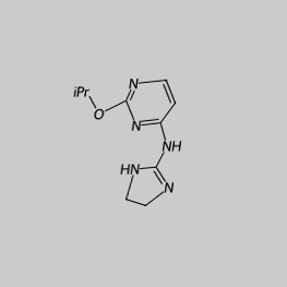 CC(C)Oc1nccc(NC2=NCCN2)n1